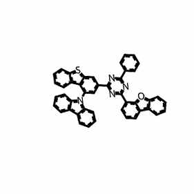 c1ccc(-c2nc(-c3cc(-n4c5ccccc5c5ccccc54)c4c(c3)sc3ccccc34)nc(-c3cccc4c3oc3ccccc34)n2)cc1